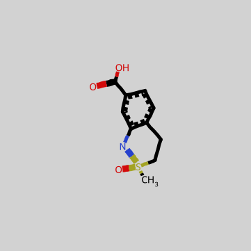 CS1(=O)=Nc2cc(C(=O)O)ccc2CC1